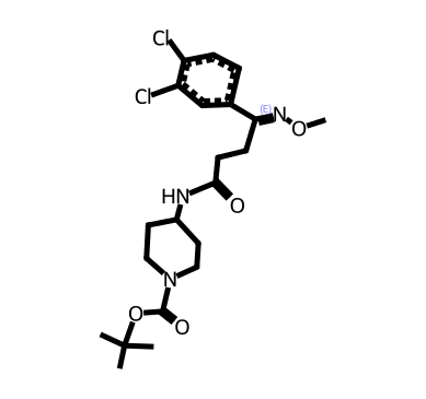 CO/N=C(\CCC(=O)NC1CCN(C(=O)OC(C)(C)C)CC1)c1ccc(Cl)c(Cl)c1